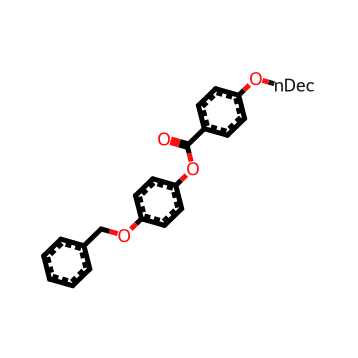 CCCCCCCCCCOc1ccc(C(=O)Oc2ccc(OCc3ccccc3)cc2)cc1